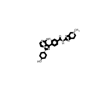 CN1CCc2nc(NC(=O)c3ccc(-c4nc([C@H]5CC[C@H](O)CC5)n5ccnc(N)c45)cc3)sc2C1